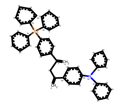 C=C(CC(=C)c1ccc(S(c2ccccc2)(c2ccccc2)c2ccccc2)cc1)c1ccc(N(c2ccccc2)c2ccccc2)cc1